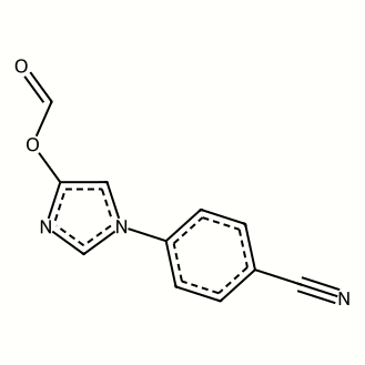 N#Cc1ccc(-n2cnc(OC=O)c2)cc1